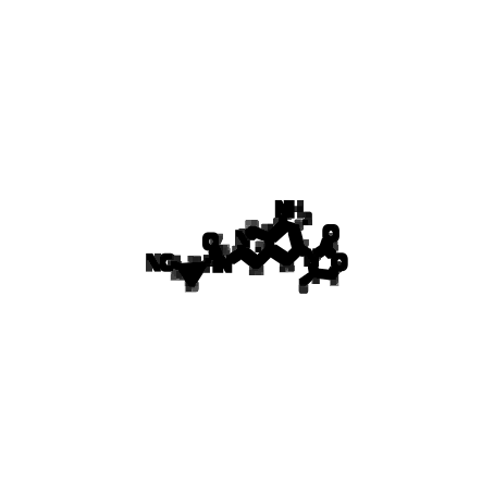 C[C@@H]1COC(=O)N1c1cc(N)c2cnc(NC(=O)[C@@H]3C[C@H]3C#N)cc2c1